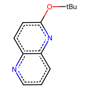 CC(C)(C)Oc1ccc2ncccc2n1